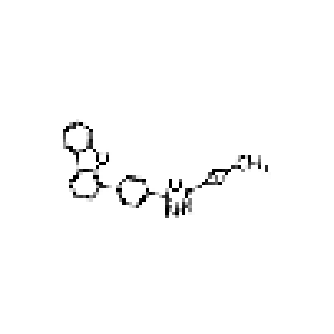 CC1C2C(c3nnc(-c4ccc(-c5cccc6c5oc5ccccc56)cc4)o3)C12